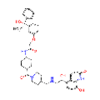 O=C(COc1cccc([C@](O)(C(=O)O)c2ccccc2)c1)NC1CCC(C(=O)N2CCC(CNC[C@H](O)c3ccc(O)c4[nH]c(=O)ccc34)CC2)CC1